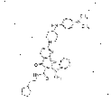 CN(C)c1ccc(NC2CCN(c3ccc4c(=O)c(C(=O)NCCN5CCCC5)c5n(C)c6ccccc6n5c4n3)CC2)cc1